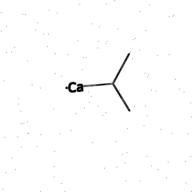 C[CH](C)[Ca]